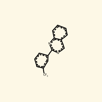 FC(F)(F)c1cccc(-c2ncc3ccccc3n2)c1